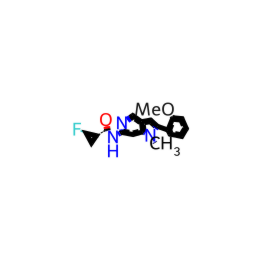 COc1ccccc1-c1cc2cnc(NC(=O)[C@@H]3C[C@@H]3F)cc2n1C